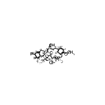 COCC(=O)O[C@@]1(CCN(C)CCc2ccc(OC)c(OC)c2)CCc2cc(F)ccc2[C@H]1C(C)C.Cl